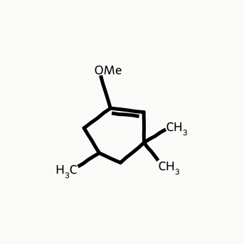 COC1=CC(C)(C)CC(C)C1